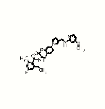 CCc1cc(F)cc(C)c1C(=O)NC(Cc1ccc(-n2ccc(CNc3cc(OC)ccn3)c2)cc1)C(=O)O